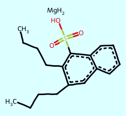 CCCCc1cc2ccccc2c(S(=O)(=O)O)c1CCCC.[MgH2]